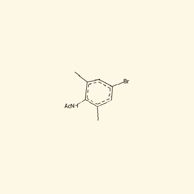 CC(=O)Nc1c(C)cc(Br)cc1C